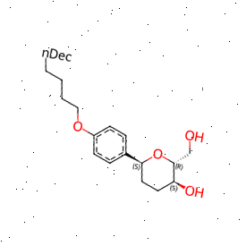 CCCCCCCCCCCCCCOc1ccc([C@@H]2CC[C@H](O)[C@@H](CO)O2)cc1